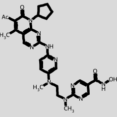 CC(=O)c1c(C)c2cnc(Nc3ccc(N(C)CCN(C)c4ncc(C(=O)NO)cn4)cn3)nc2n(C2CCCC2)c1=O